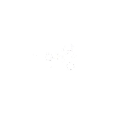 COc1ccc(S(=O)(=O)N2C(=O)C(c3ccccc3OC)(N3CCCC[C@H]3C(=O)N(C)C)c3cc(Cl)ccc32)c(OC(F)(F)F)c1